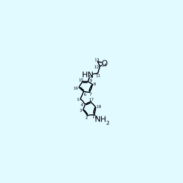 Nc1ccc(Cc2ccc(NCC3CO3)cc2)cc1